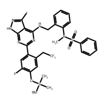 CN(c1ccccc1CNc1nc(-c2cc(F)c(O[Si](C)(C)C(C)(C)C)cc2CC(F)(F)F)nc2[nH]nc(I)c12)S(=O)(=O)c1ccccc1